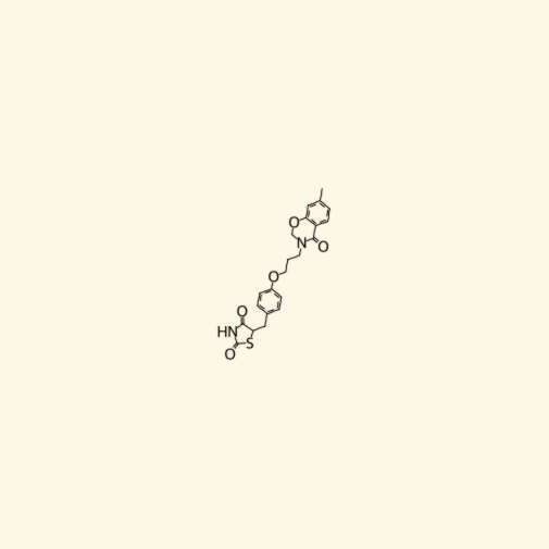 Cc1ccc2c(c1)OCN(CCCOc1ccc(CC3SC(=O)NC3=O)cc1)C2=O